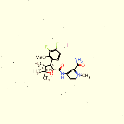 COc1c([C@H]2[C@H](C(=O)Nc3cc[n+](C)c(C(N)=O)c3)O[C@@](C)(C(F)(F)F)[C@H]2C)ccc(F)c1F.[I-]